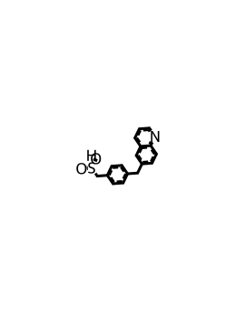 O=[SH](=O)Cc1ccc(Cc2ccc3ncccc3c2)cc1